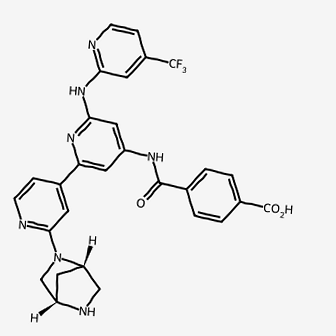 O=C(O)c1ccc(C(=O)Nc2cc(Nc3cc(C(F)(F)F)ccn3)nc(-c3ccnc(N4C[C@@H]5C[C@H]4CN5)c3)c2)cc1